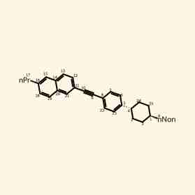 CCCCCCCCC[C@H]1CC[C@H](c2ccc(C#Cc3ccc4cc(CCC)ccc4c3)cc2)CC1